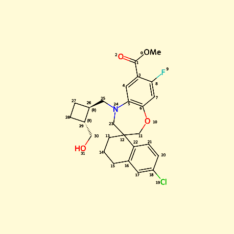 COC(=O)c1cc2c(cc1F)OCC1(CCCc3cc(Cl)ccc31)CN2C[C@@H]1CC[C@H]1CO